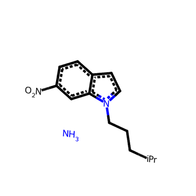 CC(C)CCCn1ccc2ccc([N+](=O)[O-])cc21.N